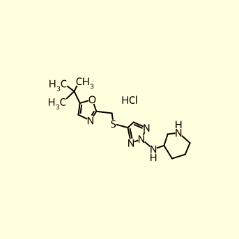 CC(C)(C)c1cnc(CSc2cnn(NC3CCCNC3)n2)o1.Cl